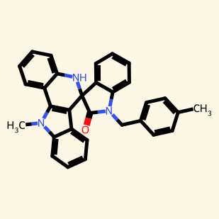 Cc1ccc(CN2C(=O)C3(Nc4ccccc4-c4c3c3ccccc3n4C)c3ccccc32)cc1